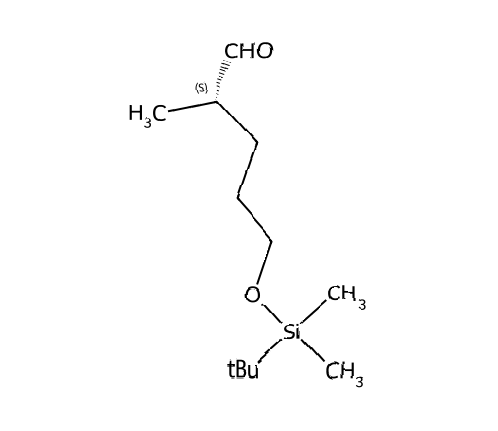 C[C@H](C=O)CCCO[Si](C)(C)C(C)(C)C